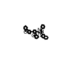 C1=Cc2ccc(-c3nc(-c4ccccc4)nc(-c4ccc(-c5ccc6oc7ccccc7c6c5)c5oc6ccccc6c45)n3)cc2CC1